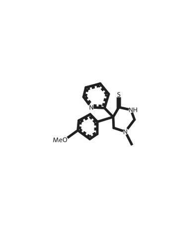 COc1ccc(C2(c3ccccn3)CN(C)CNC2=S)cc1